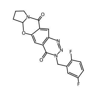 O=C1c2cc3nnn(Cc4cc(F)ccc4F)c(=O)c3cc2OC2CCCN12